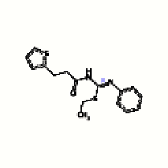 CCS/C(=N\c1ccccc1)NC(=O)CCc1cccs1